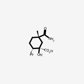 CC(C)[C@@H]1CC[C@](C)(C(N)=O)C[C@]1(O)C(=O)O